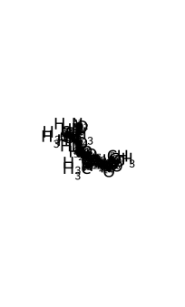 CC[C@@]1(O)C(=O)OCc2c1cc1n(c2=O)Cc2cc3c(CN(C)C)c(CN(Cc4ccc(NC(=O)[C@H](CCCNC(N)=O)NC(=O)OC(C)(C)C)cc4)C(=O)O)ccc3nc2-1